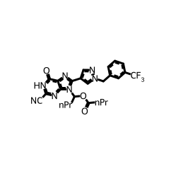 CCCC(=O)OC(CCC)n1c(-c2cnn(Cc3cccc(C(F)(F)F)c3)c2)nc2c(=O)[nH]c(C#N)nc21